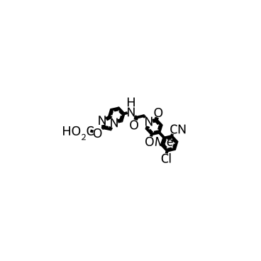 COc1cn(CC(=O)Nc2ccc3nc(OC(=O)O)cn3c2)c(=O)cc1-c1cc(Cl)ccc1C#N